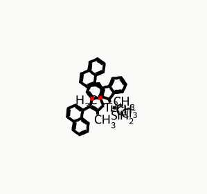 CC1=C(c2cccc3ccccc23)c2ccccc2[CH]1[Ti+2]([CH3])([CH3])(=[SiH2])[CH]1C(C)=C(c2cccc3ccccc23)c2ccccc21.[Cl-].[Cl-]